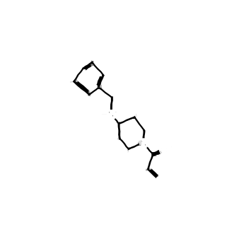 C=CC(=O)N1CCC(NCc2ccccc2)CC1